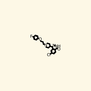 O=c1[nH]nc(C2CCN(CCCOc3ccc(F)cc3)CC2)c2cc(Cl)ccc12